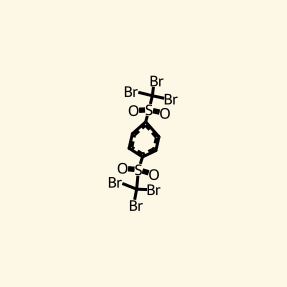 O=S(=O)(c1ccc(S(=O)(=O)C(Br)(Br)Br)cc1)C(Br)(Br)Br